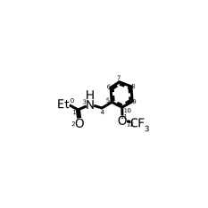 CCC(=O)NCc1ccccc1OC(F)(F)F